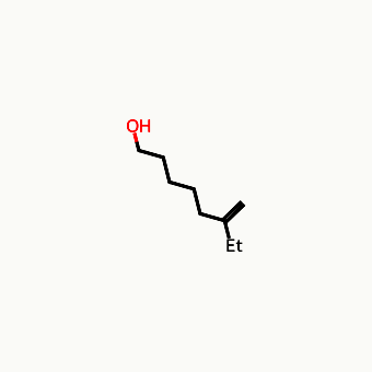 C=C(CC)CCCCCO